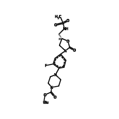 CC(C)(C)OC(=O)N1CCN(c2ccc(N3C[C@H](CNS(C)(=O)=O)OC3=O)cc2F)CC1